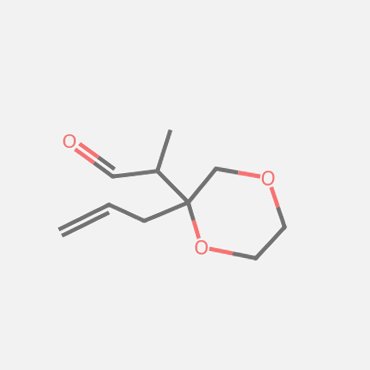 C=CCC1(C(C)C=O)COCCO1